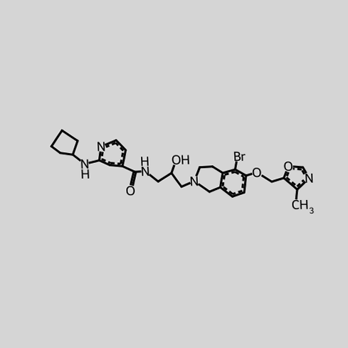 Cc1ncoc1COc1ccc2c(c1Br)CCN(CC(O)CNC(=O)c1ccnc(NC3CCCC3)c1)C2